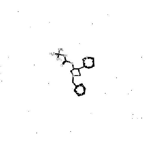 CC(C)(C)NC(=O)OC1CN(Cc2ccccc2)CC1c1cccnc1